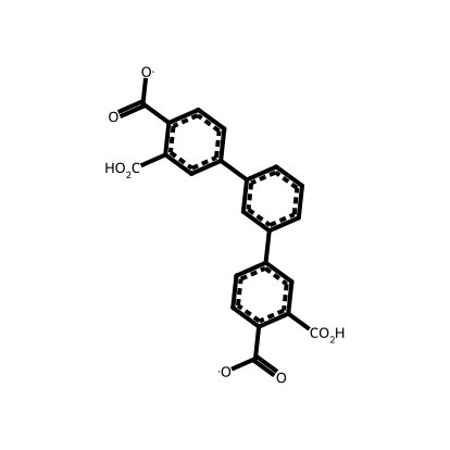 [O]C(=O)c1ccc(-c2cccc(-c3ccc(C([O])=O)c(C(=O)O)c3)c2)cc1C(=O)O